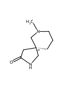 CN1CCC[C@@]2(CNC(=O)C2)C1